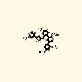 COc1ncc(-c2ccc(C(=O)O)cc2C)cc1-c1ccc(C(F)(F)F)cc1CC1=NOC(c2ccnc(C(F)(F)F)c2)C1